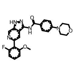 COc1cccc(F)c1-c1cc2c(NC(=O)c3ccc(N4CCOCC4)cc3)n[nH]c2cn1